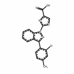 Cc1ccc(-c2nn(-c3nc(C(=O)O)cs3)c3ccccc23)c(Cl)c1